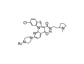 CC(=O)N1CCN(c2ccc3c(=O)c(C(=O)NCCC4CCCN4C)c4sc5ccc(Cl)cc5n4c3n2)CC1